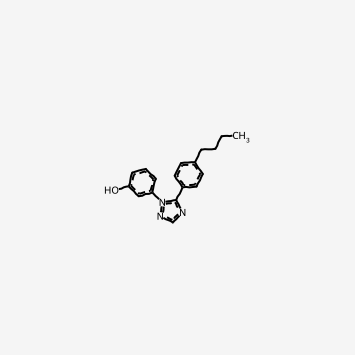 CCCCc1ccc(-c2ncnn2-c2cccc(O)c2)cc1